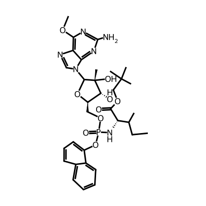 CCC(C)[C@H](NP(=O)(OC[C@H]1OC(n2cnc3c(OC)nc(N)nc32)[C@](C)(O)[C@@H]1O)Oc1cccc2ccccc12)C(=O)OCC(C)(C)C